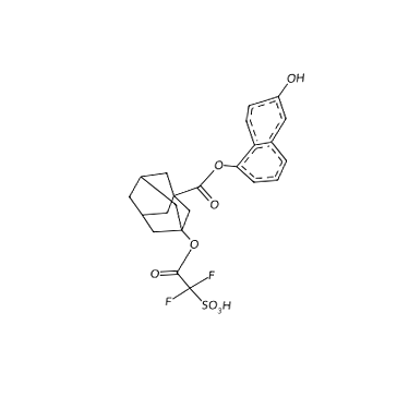 O=C(Oc1cccc2cc(O)ccc12)C12CC3CC(CC(OC(=O)C(F)(F)S(=O)(=O)O)(C3)C1)C2